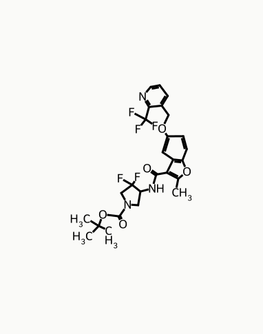 Cc1oc2ccc(OCc3cccnc3C(F)(F)F)cc2c1C(=O)NC1CN(C(=O)OC(C)(C)C)CC1(F)F